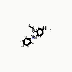 CCOc1cc(N)ccc1/N=N/c1ccccc1